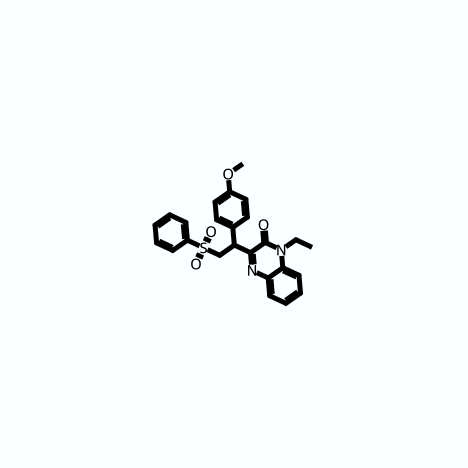 CCn1c(=O)c(C(CS(=O)(=O)c2ccccc2)c2ccc(OC)cc2)nc2ccccc21